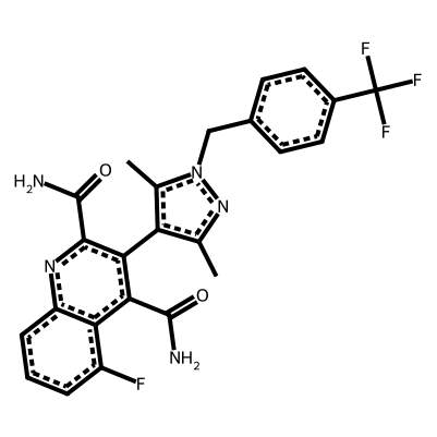 Cc1nn(Cc2ccc(C(F)(F)F)cc2)c(C)c1-c1c(C(N)=O)nc2cccc(F)c2c1C(N)=O